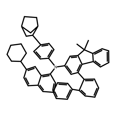 CC1(C)c2ccccc2-c2c(-c3ccccc3-c3ccccc3)cc(N(c3ccc(C4CC5CCC4C5)cc3)c3cccc4ccc(C5CCCCC5)cc34)cc21